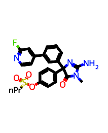 CCCS(=O)(=O)Oc1ccc(C2(c3cccc(-c4ccnc(F)c4)c3)N=C(N)N(C)C2=O)cc1